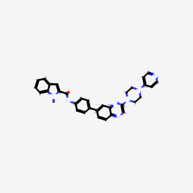 Cn1c(C(=O)Nc2ccc(-c3ccc4ncc(N5CCN(c6ccncc6)CC5)nc4c3)cc2)cc2ccccc21